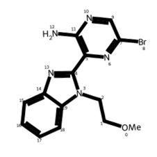 COCCn1c(-c2nc(Br)cnc2N)nc2ccccc21